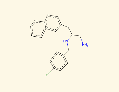 NCC(Cc1ccc2ccccc2c1)NCc1ccc(F)cc1